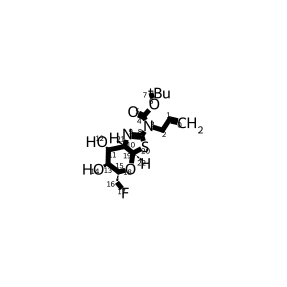 C=CCN(C(=O)OC(C)(C)C)C1=N[C@@H]2[C@@H](O)[C@H](O)[C@@H](CF)O[C@@H]2S1